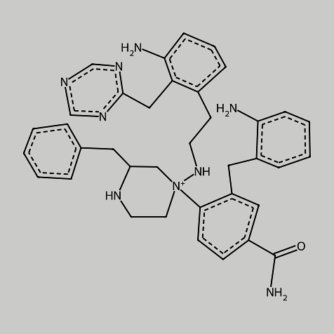 NC(=O)c1ccc([N+]2(NCCc3cccc(N)c3Cc3ncncn3)CCNC(Cc3ccccc3)C2)c(Cc2ccccc2N)c1